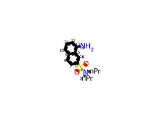 CCCN(CCC)S(=O)(=O)c1ccc2cccc(N)c2c1